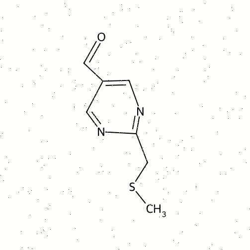 CSCc1ncc(C=O)cn1